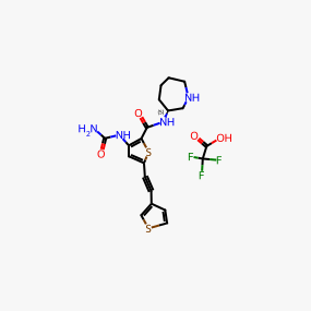 NC(=O)Nc1cc(C#Cc2ccsc2)sc1C(=O)N[C@H]1CCCCNC1.O=C(O)C(F)(F)F